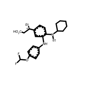 CC[C@H](CC(=O)O)c1ccc(N(CC)C2CCCCC2)c(Nc2ccc(OC(F)F)cc2)c1